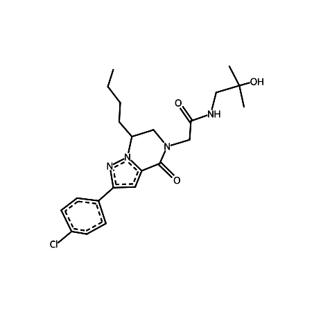 CCCCC1CN(CC(=O)NCC(C)(C)O)C(=O)c2cc(-c3ccc(Cl)cc3)nn21